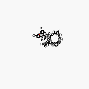 C[C@@H]1C[C@H]2C(=O)O[C@@H](C)[C@H](NC(=O)[C@H](Cc3cc(F)cc(F)c3)NC(=O)Nc3ccc(Cl)cc3)C(=O)N3C[C@H](OP(=O)(O)O)C[C@H]3C(=O)N3CCCC[C@H]3C(=O)N[C@@H](C)C(=O)N2C1